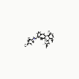 Fc1ccc(F)c([C@H]2C[C@H](F)CN2c2ccc3ncc(/C=C/c4cnc(Cl)cn4)n3n2)c1